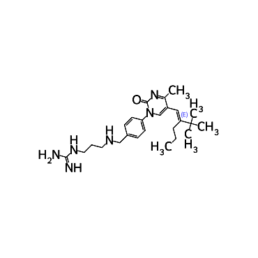 CCC/C(=C\c1cn(-c2ccc(CNCCCNC(=N)N)cc2)c(=O)nc1C)C(C)(C)C